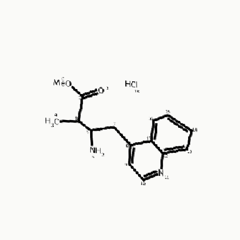 COC(=O)C(C)C(N)Cc1ccnc2ccccc12.Cl